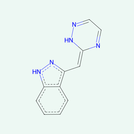 C1=NN/C(=C\c2n[nH]c3ccccc23)N=C1